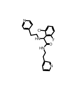 O=C(NCCc1cccnc1)C(NCCc1ccncc1)c1c(F)cccc1Cl